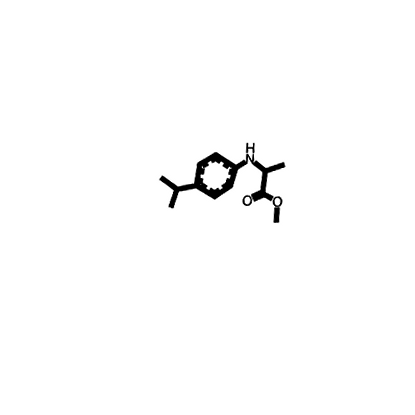 COC(=O)C(C)Nc1ccc(C(C)C)cc1